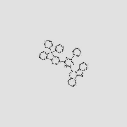 c1ccc(-c2nc(-c3ccc4c(c3)C(c3ccccc3)(c3ccccc3)c3ccccc3-4)nc(-c3cc4ccccc4c4sc5ccccc5c34)n2)cc1